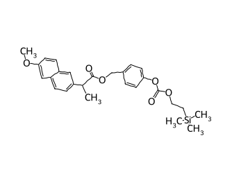 COc1ccc2cc(C(C)C(=O)OCc3ccc(OC(=O)OCC[Si](C)(C)C)cc3)ccc2c1